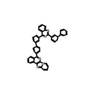 C1=CC(c2nc(-c3cccc(-c4ccc(-c5nc6c(nc7ccccn76)c6ccccc56)cc4)c3)c3ccccc3n2)=CC(c2ccccc2)C1